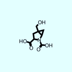 O=C(O)C1CC2(CO)CC2N1C(=O)O